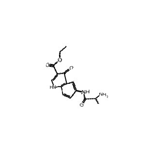 CCOC(=O)c1c[nH]c2ccc(NC(=O)C(C)N)cc2c1=O